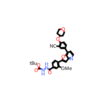 COc1cc(C(=O)NNC(=O)OC(C)(C)C)ccc1-c1cc2nccc(-c3ccc(OC4CCOCC4)c(C#N)c3)c2o1